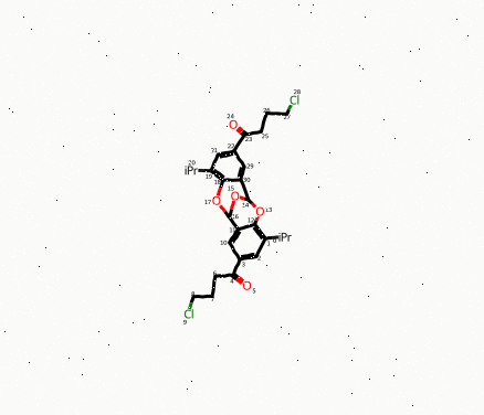 CC(C)c1cc(C(=O)CCCCl)cc2c1OC1OC2Oc2c(C(C)C)cc(C(=O)CCCCl)cc21